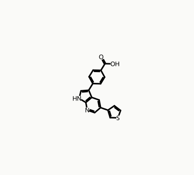 O=C(O)c1ccc(-c2c[nH]c3ncc(-c4ccsc4)cc23)cc1